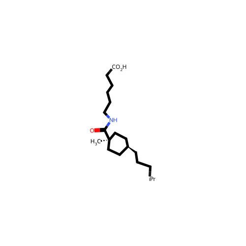 CC(C)CCC[C@H]1CC[C@@](C)(C(=O)NCCCCCC(=O)O)CC1